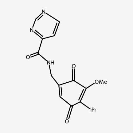 COC1=C(C(C)C)C(=O)C=C(CNC(=O)c2ccncn2)C1=O